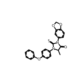 CC1C(=O)N(c2ccc3c(c2)OCO3)C(=S)N1c1ccc(Oc2ccccc2)cc1